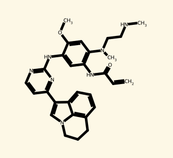 C=CC(=O)Nc1cc(Nc2nccc(-c3cn4c5c(cccc35)CCC4)n2)c(OC)cc1N(C)CCNC